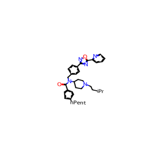 CCCCCc1ccc(C(=O)N(Cc2ccc(-c3noc(-c4ccccn4)n3)cc2)C2CCN(CCC(C)C)CC2)cc1